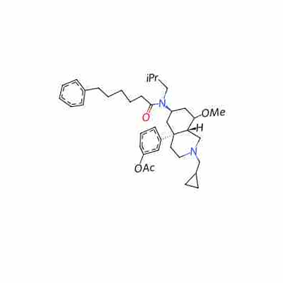 COC1C[C@H](N(CC(C)C)C(=O)CCCCCc2ccccc2)C[C@]2(c3cccc(OC(C)=O)c3)CCN(CC3CC3)C[C@@H]12